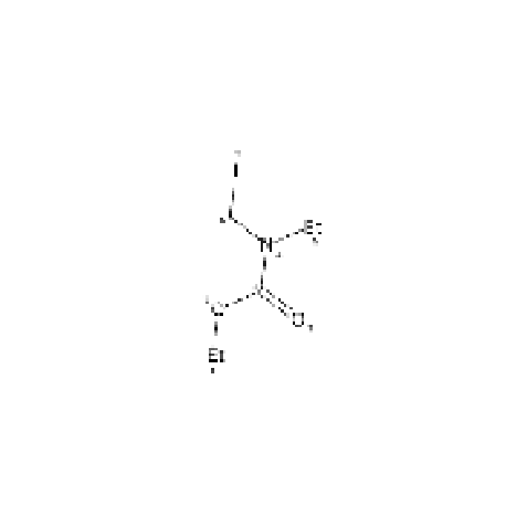 CCOC(=O)N(CC)CI